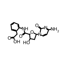 Nc1ccn(C2CC(O)C(C(=O)Nc3ccccc3CC(=O)O)O2)c(=O)n1